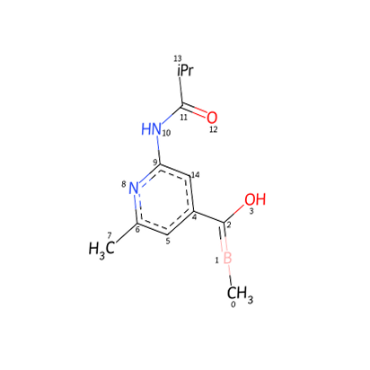 C/B=C(\O)c1cc(C)nc(NC(=O)C(C)C)c1